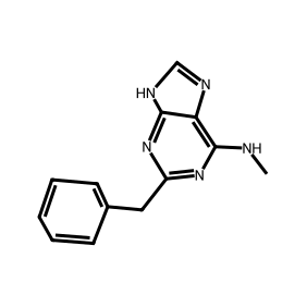 CNc1nc(Cc2ccccc2)nc2[nH]cnc12